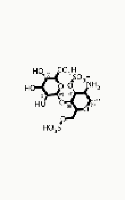 C[C@@H]1OC(COS(=O)(=O)O)[C@@H](O[C@@H]2OC(C(=O)O)[C@@H](O)C(O)[C@@H]2O)[C@H](OS(=O)(=O)O)C1N